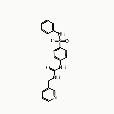 O=C(NCc1cccnc1)Nc1ccc(S(=O)(=O)Nc2ccccc2)cc1